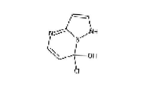 OC1(Cl)C=CN=C2C=CNN21